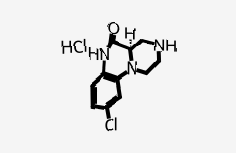 Cl.O=C1Nc2ccc(Cl)cc2N2CCNC[C@H]12